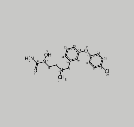 CN(CCN(O)C(N)=O)Cc1cccc(Oc2ccc(Cl)cc2)c1